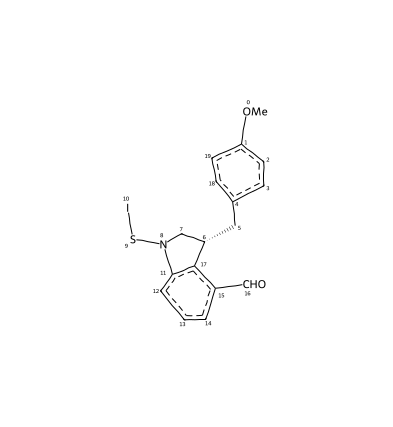 COc1ccc(C[C@H]2CN(SI)c3cccc(C=O)c32)cc1